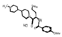 COc1ccc(C(=O)N[C@H](CCSC)C(=O)N2CCC(C3CCN(C)CC3)CC2)cc1.Cl